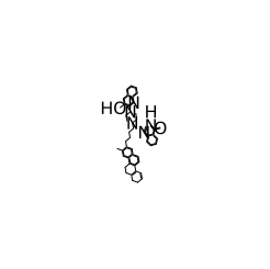 Cc1cc2c3c(ccc2cc1CCCCN1CCN(c2nc4ccccc4cc2O)CC1)C1=C(CCC=C1)CC3.O=c1[nH]cnc2ccccc12